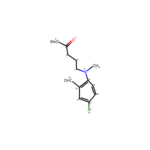 COC(=O)CCCN(C)c1ccc(Br)cc1C=O